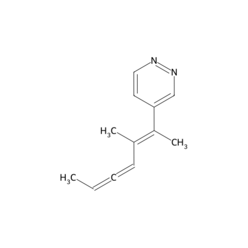 CC=C=C/C(C)=C(\C)c1ccnnc1